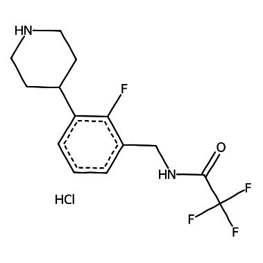 Cl.O=C(NCc1cccc(C2CCNCC2)c1F)C(F)(F)F